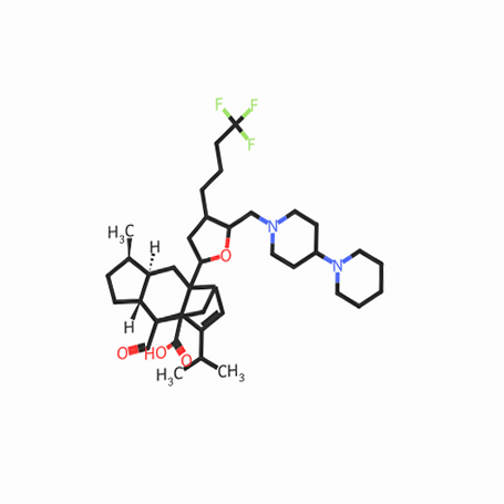 CC(C)C1=CC2CC3(C=O)[C@@H]4CC[C@@H](C)[C@H]4CC2(C2CC(CCCC(F)(F)F)C(CN4CCC(N5CCCCC5)CC4)O2)C13C(=O)O